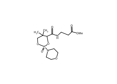 COC(=O)CCNC(=O)C1OP(=O)(N2CCOCC2)OCC1(C)C